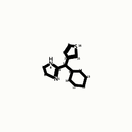 c1cc(C(C2=NCCN2)C2CCCCC2)cs1